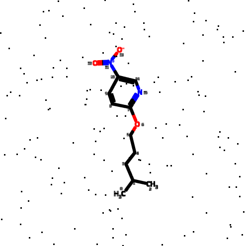 CC(C)CCCOc1ccc([N+](=O)[O-])cn1